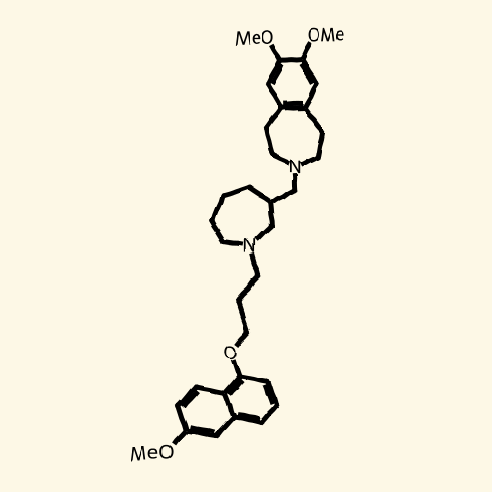 COc1ccc2c(OCCCN3CCCCC(CN4CCc5cc(OC)c(OC)cc5CC4)C3)cccc2c1